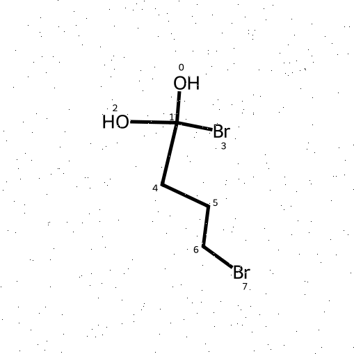 OC(O)(Br)CCCBr